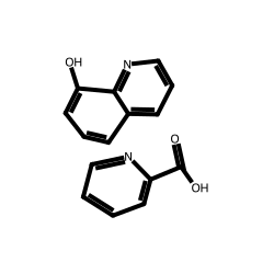 O=C(O)c1ccccn1.Oc1cccc2cccnc12